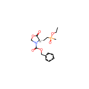 CCOP(C)(=O)CC[C@H]1C(=O)OCN1C(=O)OCc1ccccc1